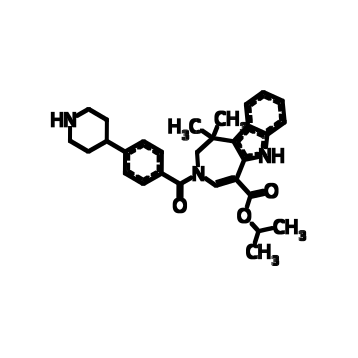 CC(C)OC(=O)C1=CN(C(=O)c2ccc(C3CCNCC3)cc2)CC(C)(C)c2c1[nH]c1ccccc21